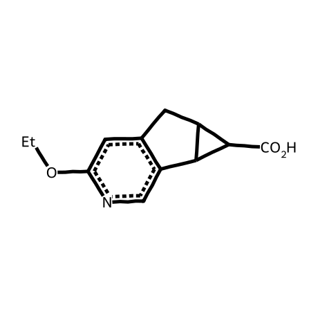 CCOc1cc2c(cn1)C1C(C2)C1C(=O)O